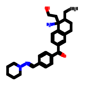 NC1(CCO)c2ccc(C(=O)c3ccc(C=NN4CCCCC4)cc3)cc2CCC1CC(=O)O